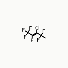 CC(F)(F)C(Cl)=C(F)C(F)(F)F